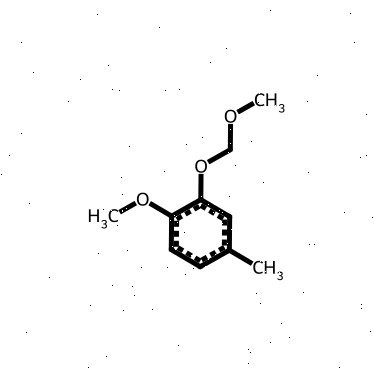 COCOc1cc(C)ccc1OC